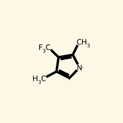 CC1=[C][N]C(C)=C1C(F)(F)F